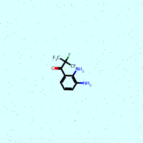 Nc1cccc(C(=O)C(F)(C(F)(F)F)C(F)(F)F)c1N